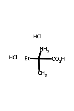 CCC(C)(N)C(=O)O.Cl.Cl